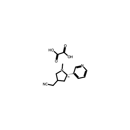 CN1CC(CC#N)C[C@H]1c1cccnc1.O=C(O)C(=O)O